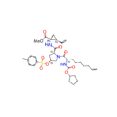 C=CCCCCC[C@H](NC(=O)OC1CCCC1)C(=O)N1C[C@@H](OS(=O)(=O)c2ccc(C)cc2)C[C@H]1C(=O)N[C@]1(C(=O)OC)C[C@H]1C=C